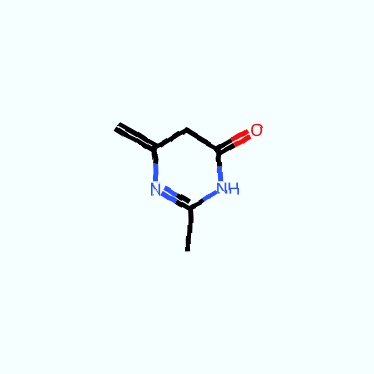 C=C1CC(=O)NC(C)=N1